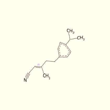 C/C(=C\C#N)CCc1ccc(C(C)C)cc1